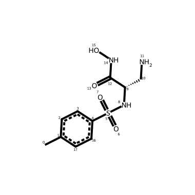 Cc1ccc(S(=O)(=O)N[C@@H](CN)C(=O)NO)cc1